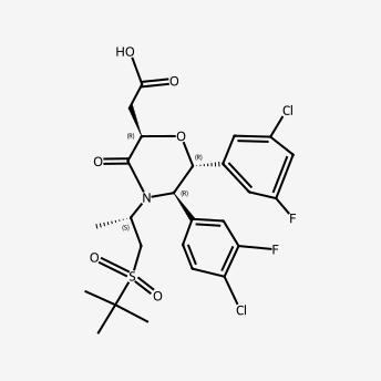 C[C@@H](CS(=O)(=O)C(C)(C)C)N1C(=O)[C@@H](CC(=O)O)O[C@H](c2cc(F)cc(Cl)c2)[C@H]1c1ccc(Cl)c(F)c1